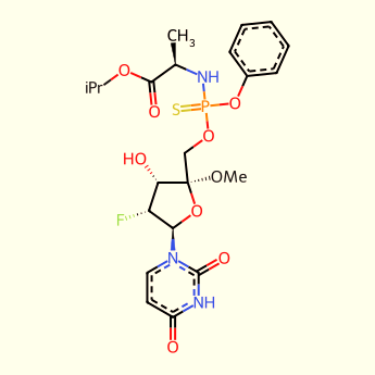 CO[C@]1(COP(=S)(N[C@H](C)C(=O)OC(C)C)Oc2ccccc2)O[C@@H](n2ccc(=O)[nH]c2=O)[C@H](F)[C@@H]1O